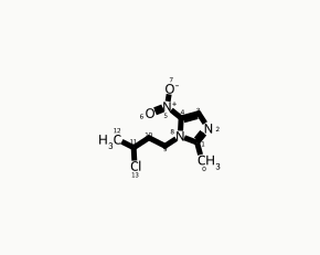 Cc1ncc([N+](=O)[O-])n1CCC(C)Cl